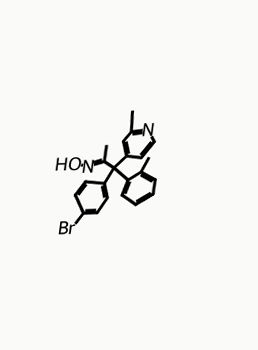 CC(=NO)C(c1ccc(Br)cc1)(c1ccnc(C)c1)c1ccccc1C